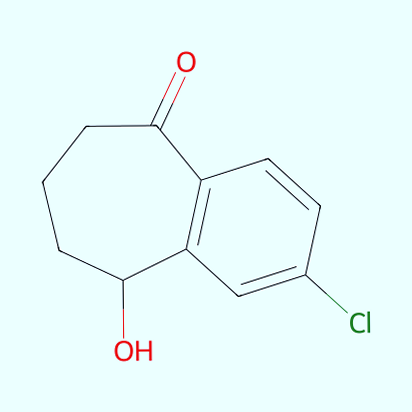 O=C1CCCC(O)c2cc(Cl)ccc21